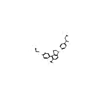 CC(C)(O)CCOc1c(F)cc(-c2c(C(F)(F)F)ccc3c2CC[C@H]3Oc2ccc3c(c2)OCC3CC(=O)O)cc1F